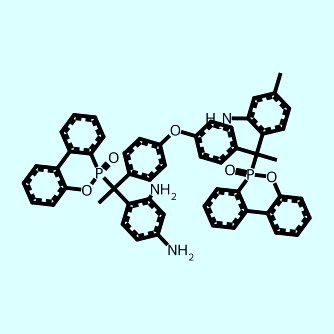 Cc1ccc(C(C)(c2ccc(Oc3ccc(C(C)(c4ccc(N)cc4N)P4(=O)Oc5ccccc5-c5ccccc54)cc3)cc2)P2(=O)Oc3ccccc3-c3ccccc32)c(N)c1